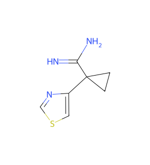 N=C(N)C1(c2cscn2)CC1